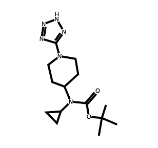 CC(C)(C)OC(=O)N(C1CC1)C1CCN(c2nn[nH]n2)CC1